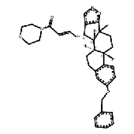 CC12CC[C@@H]3c4ccc(OCc5ccccc5)cc4CC[C@H]3[C@@H]1[C@H](C/C=C/C(=O)N1CCOCC1)c1cnoc12